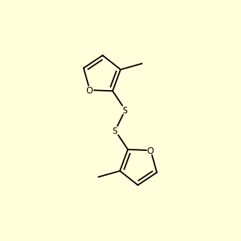 Cc1ccoc1SSc1occc1C